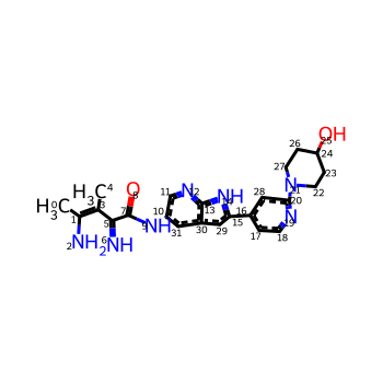 C/C(N)=C(\C)C(=N)C(=O)Nc1cnc2[nH]c(-c3ccnc(N4CCC(O)CC4)c3)cc2c1